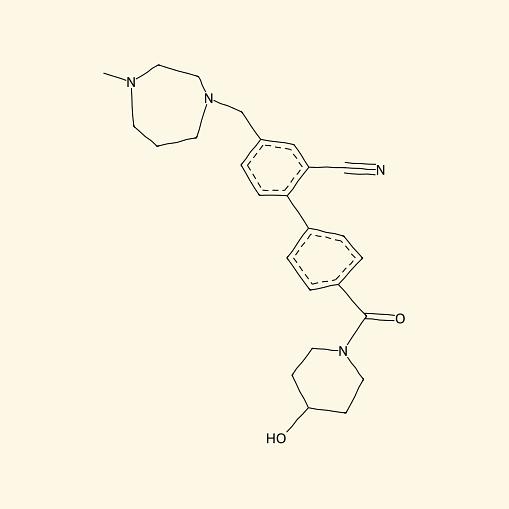 CN1CCCN(Cc2ccc(-c3ccc(C(=O)N4CCC(O)CC4)cc3)c(C#N)c2)CC1